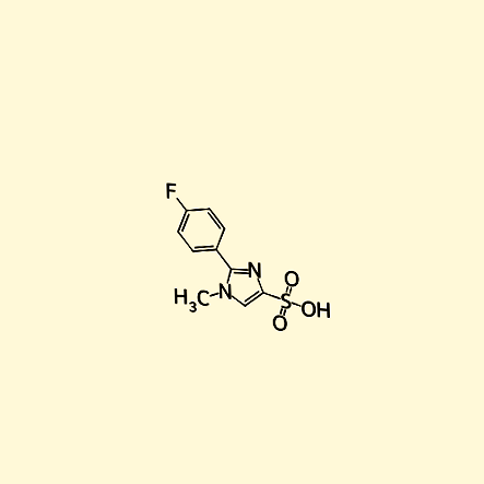 Cn1cc(S(=O)(=O)O)nc1-c1ccc(F)cc1